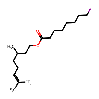 CC(CCC=C(C(F)(F)F)C(F)(F)F)CCOC(=O)CCCCCCCI